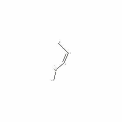 C/C=C\[Si]C